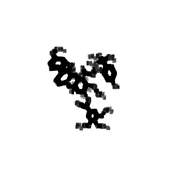 CC(C)(C)c1ccc(O)cc1.COC(=O)[C@H]1[C@H]2C[C@@H]3c4[nH]c5cc(OC)ccc5c4CCN3C[C@H]2C[C@@H](OC(=O)c2cc(OC)c(OC)c(OC)c2)[C@@H]1OC